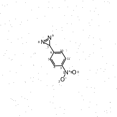 O=[N+]([O-])c1ccc(C2N=N2)cc1